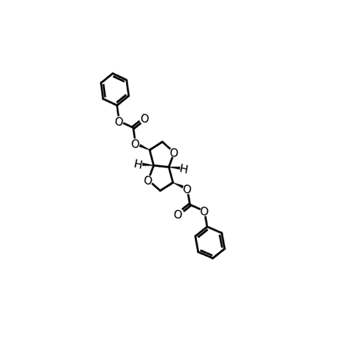 O=C(Oc1ccccc1)O[C@H]1CO[C@H]2[C@@H]1OC[C@@H]2OC(=O)Oc1ccccc1